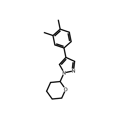 Cc1ccc(-c2cnn(C3CCCCO3)c2)cc1C